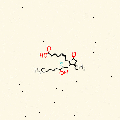 C=C1CC(=O)[C@H](C/C=C\CCCC(=O)O)[C@@H]1CC(F)[C@@H](O)CCCCC